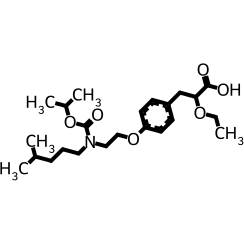 CCOC(Cc1ccc(OCCN(CCCC(C)C)C(=O)OC(C)C)cc1)C(=O)O